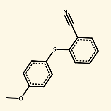 COc1ccc(Sc2ccccc2C#N)cc1